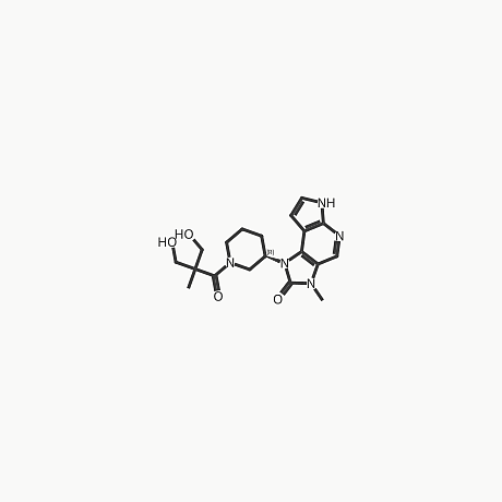 Cn1c(=O)n([C@@H]2CCCN(C(=O)C(C)(CO)CO)C2)c2c3cc[nH]c3ncc21